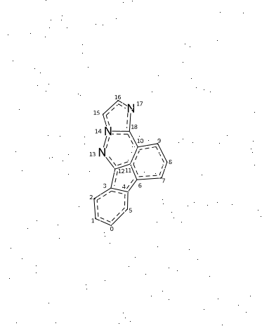 c1ccc2c(c1)c1cccc3c1c2nn1ccnc31